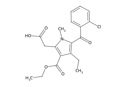 CCOC(=O)c1c(CC)c(C(=O)c2ccccc2Cl)n(C)c1CC(=O)O